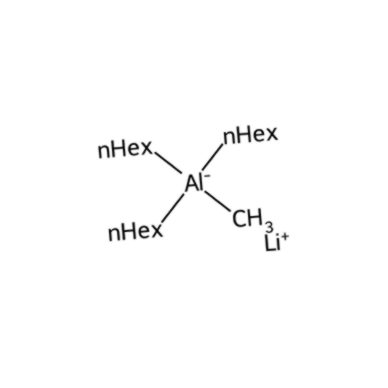 CCCCC[CH2][Al-]([CH3])([CH2]CCCCC)[CH2]CCCCC.[Li+]